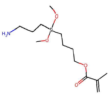 C=C(C)C(=O)OCCCC[Si](CCCN)(OC)OC